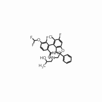 CC(O)CNC[C@@]1(c2ccccc2)Cc2c(cc(F)c(Cl)c2-c2c(C(N)=O)ccc(OC(F)F)c2F)O1